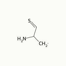 [CH2]C(N)C=S